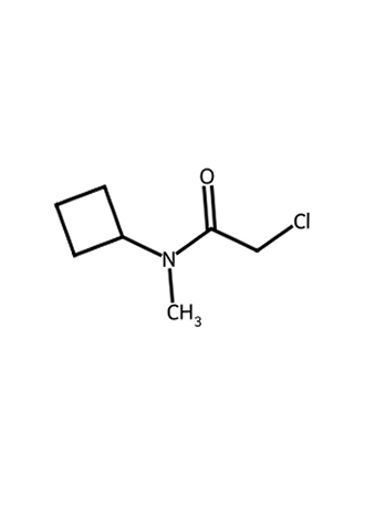 CN(C(=O)CCl)C1CCC1